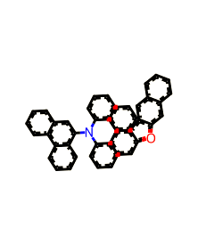 c1ccc(-c2ccccc2N(c2ccccc2-c2cccc3oc4cc5ccccc5cc4c23)c2cc3ccccc3c3ccccc23)cc1